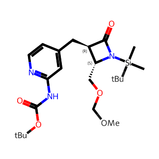 COCOC[C@@H]1[C@@H](Cc2ccnc(NC(=O)OC(C)(C)C)c2)C(=O)N1[Si](C)(C)C(C)(C)C